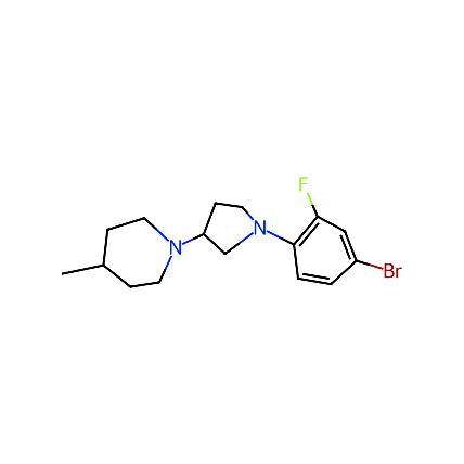 CC1CCN(C2CCN(c3ccc(Br)cc3F)C2)CC1